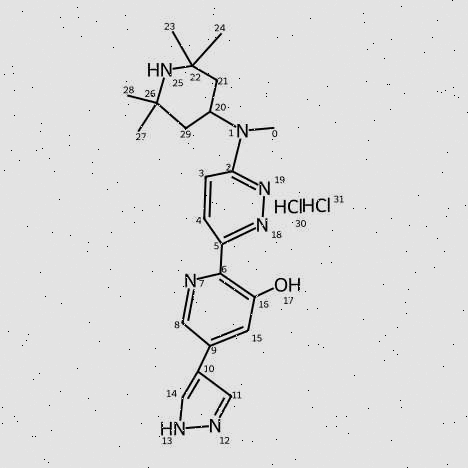 CN(c1ccc(-c2ncc(-c3cn[nH]c3)cc2O)nn1)C1CC(C)(C)NC(C)(C)C1.Cl.Cl